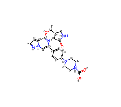 CC(Oc1nc(-c2ccc(N3CCN(C(=O)O)CC3)cc2)cn2nccc12)[C@H]1CNC(=O)C1